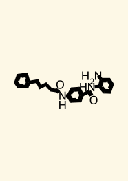 Nc1ccccc1NC(=O)c1ccc(NC(=O)CCCCc2ccccc2)cc1